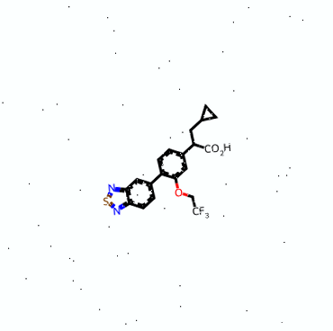 O=C(O)C(CC1CC1)c1ccc(-c2ccc3nsnc3c2)c(OCC(F)(F)F)c1